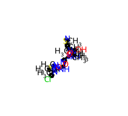 C=C(N[C@@H](C)c1ccc(-c2scnc2C)cc1)[C@@H]1C[C@@H](O)CN1C(=O)[C@@H](NC(=O)CCc1ccnc(O[C@H]2C[C@@H](NC(=O)C[C@@H]3N=C(c4ccc(Cl)cc4)c4c(sc(C)c4C)-n4c(C)nnc43)C2)c1)C(C)(C)C